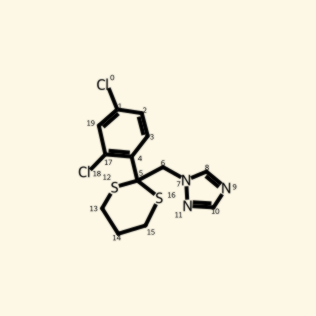 Clc1ccc(C2(Cn3cncn3)SCCCS2)c(Cl)c1